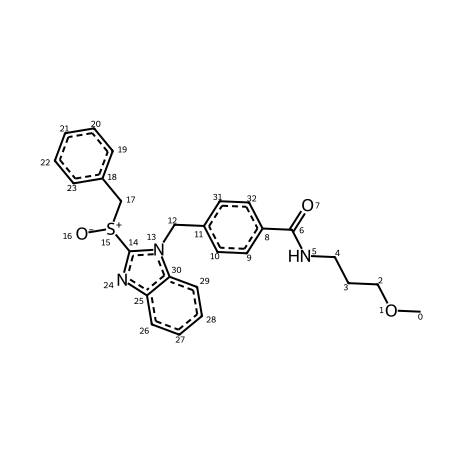 COCCCNC(=O)c1ccc(Cn2c([S+]([O-])Cc3ccccc3)nc3ccccc32)cc1